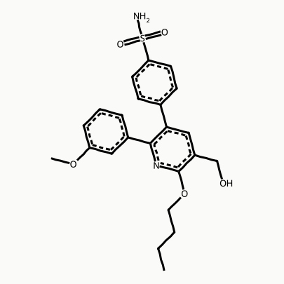 CCCCOc1nc(-c2cccc(OC)c2)c(-c2ccc(S(N)(=O)=O)cc2)cc1CO